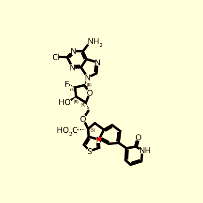 Nc1nc(Cl)nc2c1ncn2[C@@H]1O[C@H](CO[C@](Cc2ccc(-c3ccc[nH]c3=O)cc2)(C(=O)O)c2cscn2)[C@@H](O)[C@@H]1F